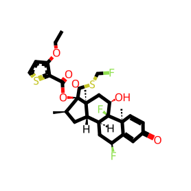 CCOc1ccsc1C(=O)O[C@]1(C(=O)SCF)[C@H](C)C[C@H]2[C@@H]3C[C@H](F)C4=CC(=O)C=C[C@]4(C)[C@@]3(F)[C@@H](O)C[C@@]21C